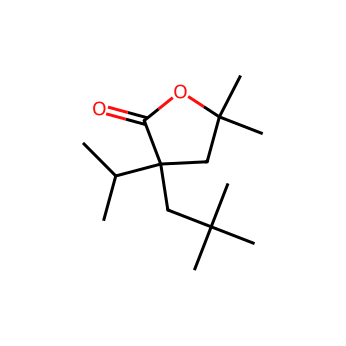 CC(C)C1(CC(C)(C)C)CC(C)(C)OC1=O